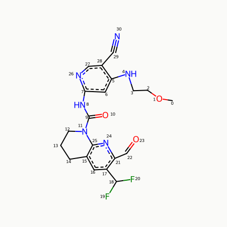 COCCNc1cc(NC(=O)N2CCCc3cc(C(F)F)c(C=O)nc32)ncc1C#N